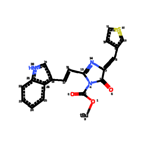 CC(C)(C)OC(=O)N1C(=O)/C(=C/c2ccsc2)N=C1/C=C/c1c[nH]c2ccccc12